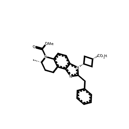 COC(=O)N1c2ccc3c(nc(Cc4ccccc4)n3[C@H]3C[C@@H](C(=O)O)C3)c2CC[C@@H]1C